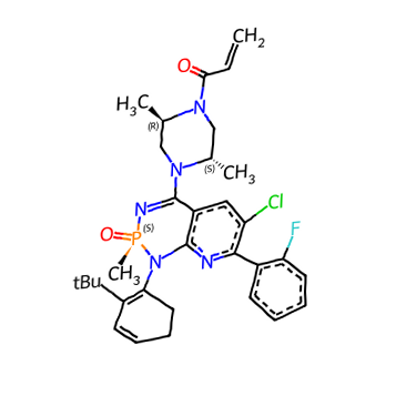 C=CC(=O)N1C[C@H](C)N(C2=N[P@@](C)(=O)N(C3=C(C(C)(C)C)C=CCC3)c3nc(-c4ccccc4F)c(Cl)cc32)C[C@H]1C